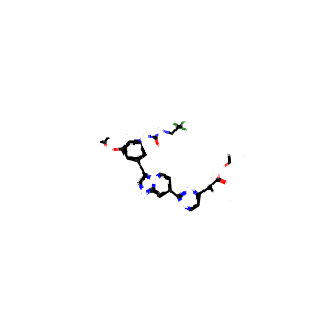 CCOC(=O)C(C)(C)c1ccnc(-c2ccn3c(-c4cc(NC(=O)NCC(F)(F)F)cc(OC(C)C)c4)cnc3c2)n1